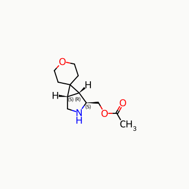 CC(=O)OC[C@H]1NC[C@H]2[C@@H]1C21CCOCC1